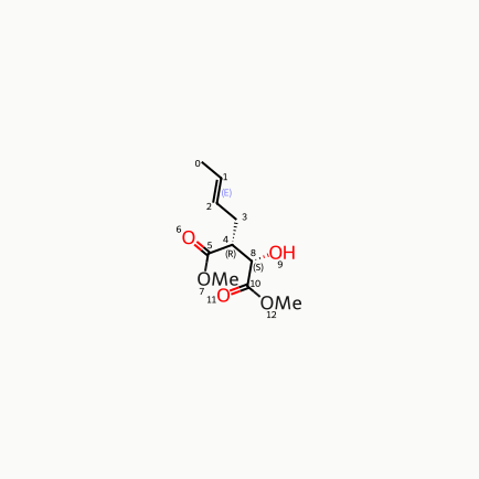 C/C=C/C[C@@H](C(=O)OC)[C@H](O)C(=O)OC